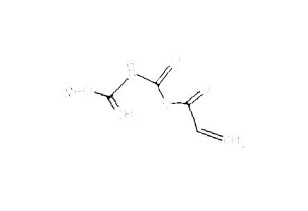 C=CC(=O)OC(=O)NC(=C)OC